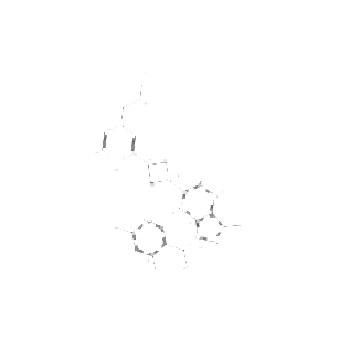 CC(c1cnc(Cl)cc1Cl)n1nc(C(F)(F)F)c2ncc(N3CC(C4=CN(CCO)C=CO4)C3)nc21